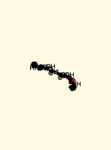 O=C(CCSCCC(=O)OCC(O)COc1ccc(Nc2ccccc2)cc1)OCC(O)COc1ccc(Nc2ccccc2)cc1